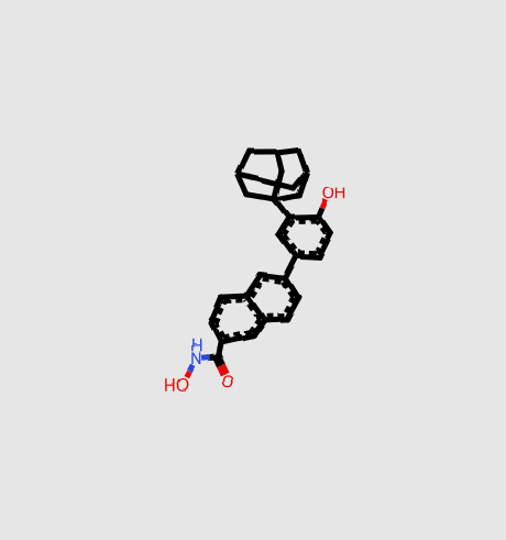 O=C(NO)c1ccc2cc(-c3ccc(O)c(C45CC6CC(CC(C6)C4)C5)c3)ccc2c1